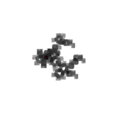 COCOc1cc(N2CCc3c(nc(OC[C@@H]4CCCN4C)nc3N3C[C@H]4CC[C@@H](C3)N4C(=O)O)C2)c2ccccc2c1C